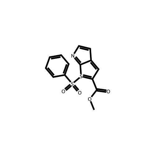 COC(=O)C1=S(S(=O)(=O)c2ccccc2)C2=NC=CC2=C1